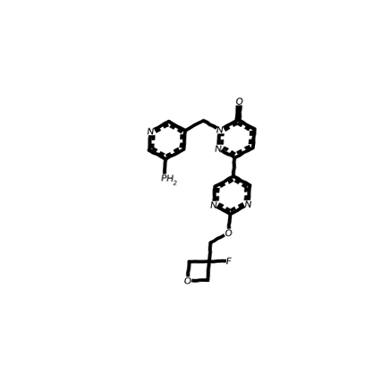 O=c1ccc(-c2cnc(OCC3(F)COC3)nc2)nn1Cc1cncc(P)c1